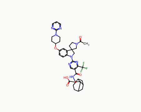 CC(=O)N1CCC2(C1)CN(c1ncc(C(=O)NC3(C(=O)O)C4CCC5CC(C4)CC3C5)c(C(F)(F)F)n1)c1ccc(OC3CCN(c4ncccn4)CC3)cc12